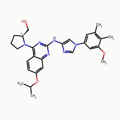 COc1cc(-n2cnc(Nc3nc(N4CCC[C@H]4CO)c4ccc(OC(C)C)cc4n3)c2)cc(C)c1C